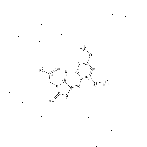 COc1ccc(C=C2SC(=O)N(CC(=O)O)C2=O)c(OC)c1